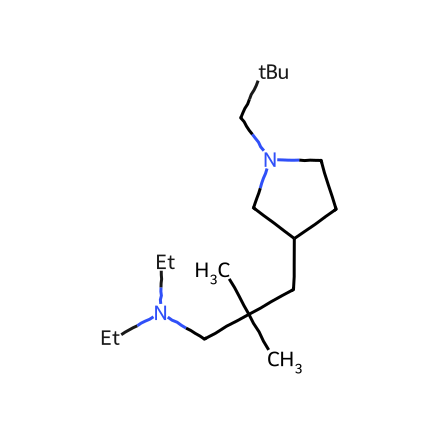 CCN(CC)CC(C)(C)CC1CCN(CC(C)(C)C)C1